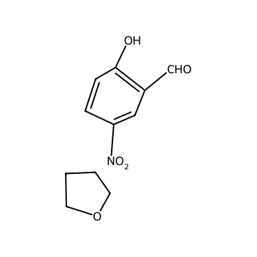 C1CCOC1.O=Cc1cc([N+](=O)[O-])ccc1O